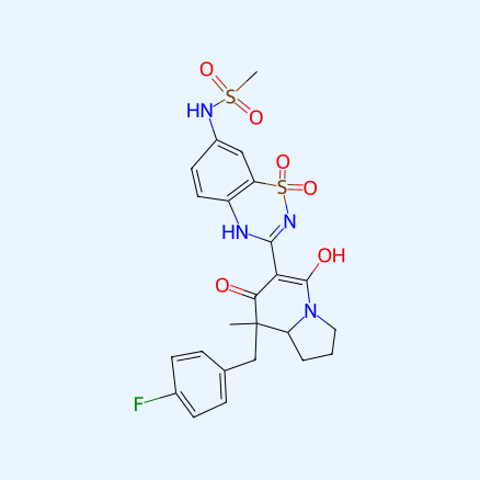 CC1(Cc2ccc(F)cc2)C(=O)C(C2=NS(=O)(=O)c3cc(NS(C)(=O)=O)ccc3N2)=C(O)N2CCCC21